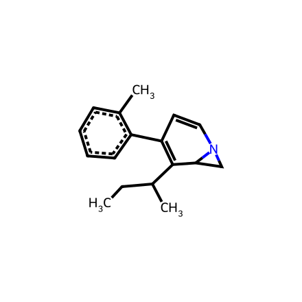 CCC(C)C1=C(c2ccccc2C)C=CN2CC12